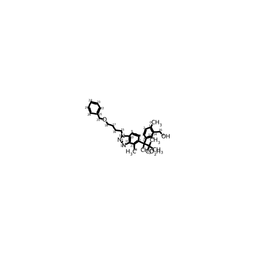 Cc1ccc(C(C)(c2ccc3c(nnn3CCCCOCc3ccccc3)c2C)C(C)(C)C(=O)O)cc1CO